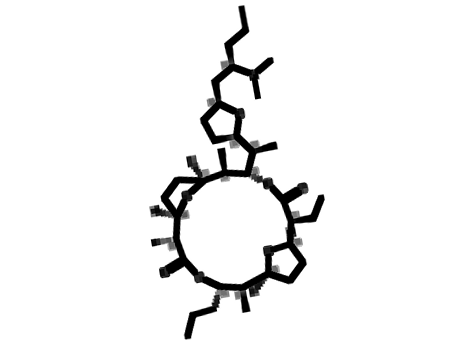 CCC[C@H](C[C@@H]1CC[C@H]([C@@H](C)[C@@H]2OC(=O)[C@@H](CC)[C@H]3CC[C@H](O3)[C@@H](C)[C@H](CCC)OC(=O)[C@H](C)[C@H]3CC[C@H](O3)[C@H]2C)O1)N(C)C